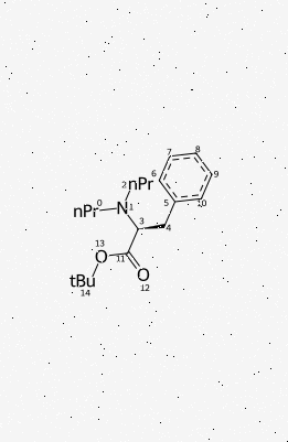 CCCN(CCC)[C@@H](Cc1ccccc1)C(=O)OC(C)(C)C